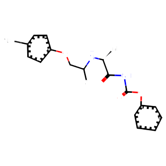 CCC[C@H](NC(C)COc1ccc(C#N)cc1)C(=O)NC(=O)Oc1ccccc1